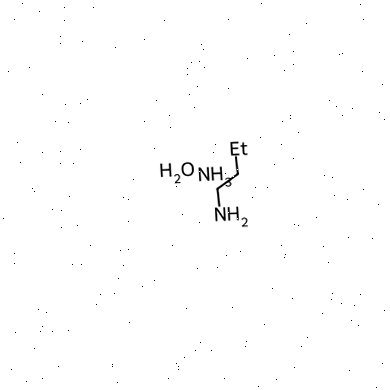 CCCCN.N.O